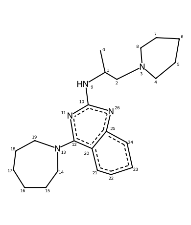 CC(CN1CCCCC1)Nc1nc(N2CCCCCC2)c2ccccc2n1